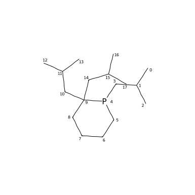 CC(C)CP1CCCCC1(CC(C)C)CC(C)C